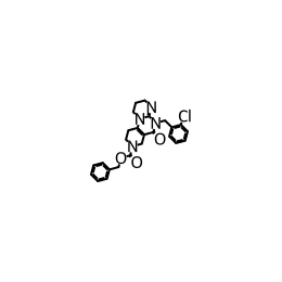 O=C(OCc1ccccc1)N1CCC2=C(C1)C(=O)N(Cc1ccccc1Cl)C1=NCCCN12